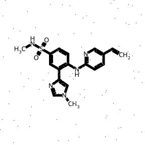 C=Cc1ccc(Nc2ccc(S(=O)(=O)NC)cc2-c2cn(C)cn2)nc1